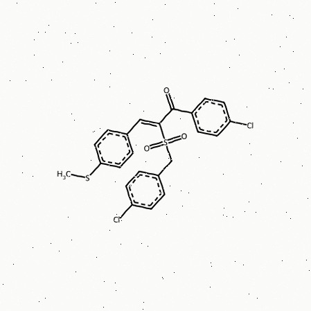 CSc1ccc(C=C(C(=O)c2ccc(Cl)cc2)S(=O)(=O)Cc2ccc(Cl)cc2)cc1